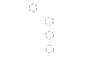 Cc1cc(C)nc(-c2ccc(-c3cccc(C(N)Cc4ccccc4)c3)cc2)n1